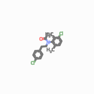 CC(=O)N(CCc1ccc(Cl)cc1)c1c(C)ccc(Cl)c1C